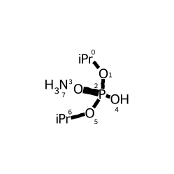 CC(C)OP(=O)(O)OC(C)C.N